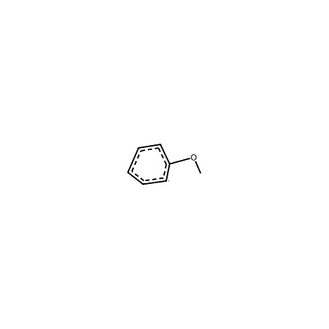 COc1[c]cccc1